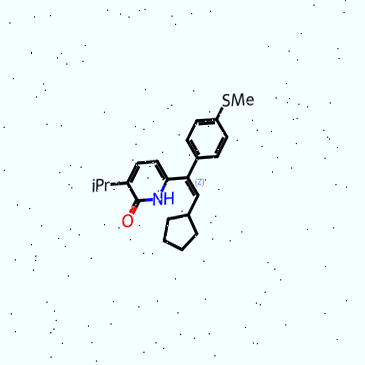 CSc1ccc(/C(=C/C2CCCC2)c2ccc(C(C)C)c(=O)[nH]2)cc1